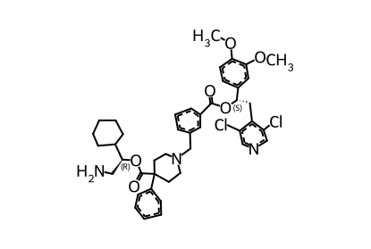 COc1ccc([C@H](Cc2c(Cl)cncc2Cl)OC(=O)c2cccc(CN3CCC(C(=O)O[C@@H](CN)C4CCCCC4)(c4ccccc4)CC3)c2)cc1OC